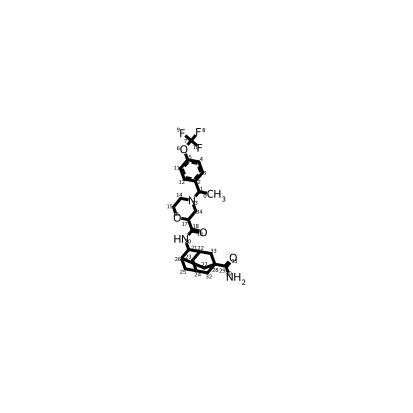 CC(c1ccc(OC(F)(F)F)cc1)N1CCOC(C(=O)NC2C3CC4CC2CC(C(N)=O)(C4)C3)C1